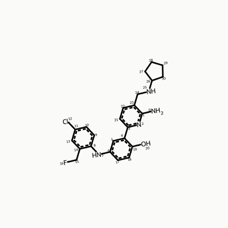 Nc1nc(-c2cc(Nc3ccc(Cl)cc3CF)ccc2O)ccc1CNC1CCCC1